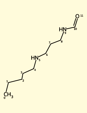 CCCCCNCCCNC=O